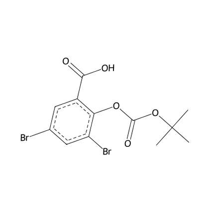 CC(C)(C)OC(=O)Oc1c(Br)cc(Br)cc1C(=O)O